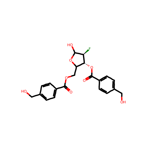 O=C(OCC1OC(O)[C@@H](F)[C@@H]1OC(=O)c1ccc(CO)cc1)c1ccc(CO)cc1